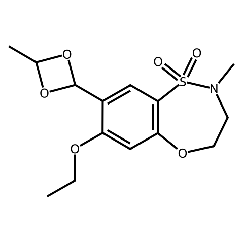 CCOc1cc2c(cc1C1OC(C)O1)S(=O)(=O)N(C)CCO2